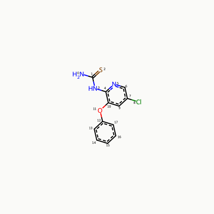 NC(=S)Nc1ncc(Cl)cc1Oc1ccccc1